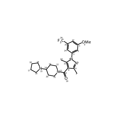 COc1cc(-n2nc(C)c(C(=O)N3CCC(N4CCCC4)CC3)c2C)cc(C(F)(F)F)c1